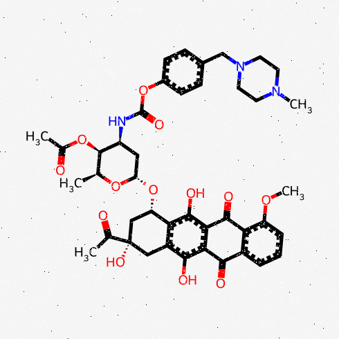 COc1cccc2c1C(=O)c1c(O)c3c(c(O)c1C2=O)C[C@@](O)(C(C)=O)C[C@@H]3O[C@H]1C[C@H](NC(=O)Oc2ccc(CN3CCN(C)CC3)cc2)[C@H](OC(C)=O)[C@H](C)O1